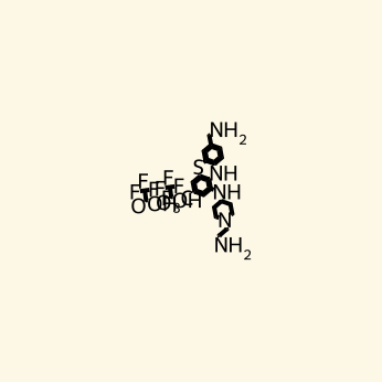 NCCN1CCC(Nc2cc(C(F)(F)F)cc3c2Nc2ccc(CN)cc2S3)CC1.O=C(O)C(F)(F)F.O=C(O)C(F)(F)F